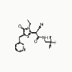 CCn1c(=O)c(=Cc2cccnc2)s/c1=C(/C#N)C(=O)NCC(F)(F)F